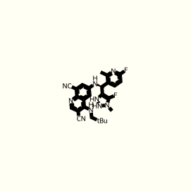 Cc1nc(F)ccc1[C@H](Nc1cc(C#N)c2ncc(C#N)c(NCC(C)(C)C)c2c1)C1=C(F)N(C)NN1